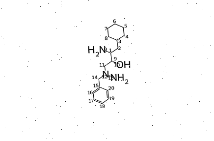 NC(CC1CCCCC1)[C@@H](O)CN(N)Cc1ccccc1